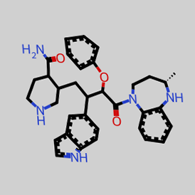 C[C@H]1CCN(C(=O)C(Oc2ccccc2)C(CC2CNCCC2C(N)=O)c2ccc3[nH]ccc3c2)c2ccccc2N1